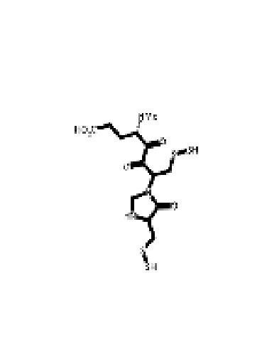 CN[C@@H](CCC(=O)O)C(=O)C(=O)C(CSS)N1CNC(CSS)C1=O